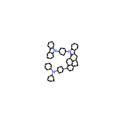 c1ccc(N(c2ccccc2)c2ccc(-c3ccc4ccc5cc6c7ccccc7n(-c7ccc(-n8c9ccccc9c9ccccc98)cc7)c6c6ccc3c4c56)cc2)cc1